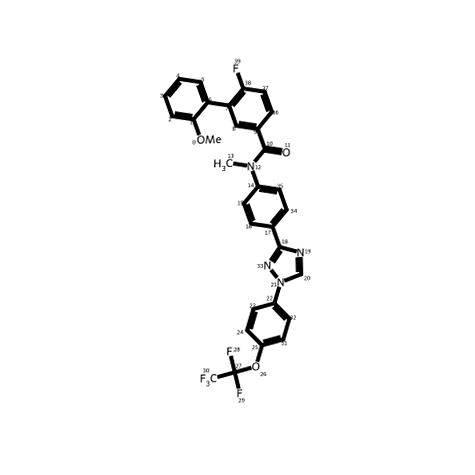 COc1ccccc1-c1cc(C(=O)N(C)c2ccc(-c3ncn(-c4ccc(OC(F)(F)C(F)(F)F)cc4)n3)cc2)ccc1F